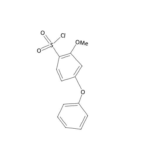 COc1cc(Oc2ccccc2)ccc1S(=O)(=O)Cl